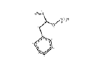 CCCCCC(Cc1ccccc1)OS(=O)(=O)O